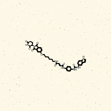 O=C(/C=C/C(=O)Nc1ccc(NC(=O)Nc2ccc3[nH]ccc3c2)cc1)NCCCCCCOc1ccc2c(c1)C(=O)N(C1CCC(=O)NC1=O)C2=O